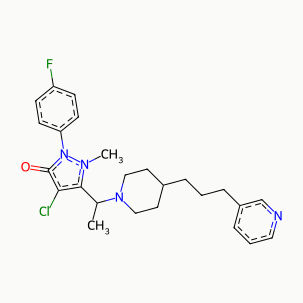 CC(c1c(Cl)c(=O)n(-c2ccc(F)cc2)n1C)N1CCC(CCCc2cccnc2)CC1